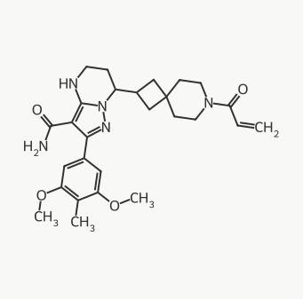 C=CC(=O)N1CCC2(CC1)CC(C1CCNc3c(C(N)=O)c(-c4cc(OC)c(C)c(OC)c4)nn31)C2